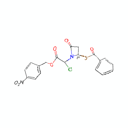 O=C(S[C@@H]1CC(=O)N1C(Cl)C(=O)OCc1ccc([N+](=O)[O-])cc1)c1ccccc1